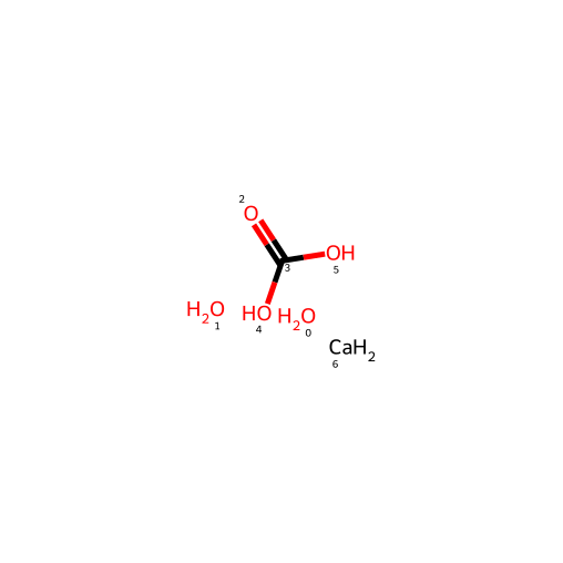 O.O.O=C(O)O.[CaH2]